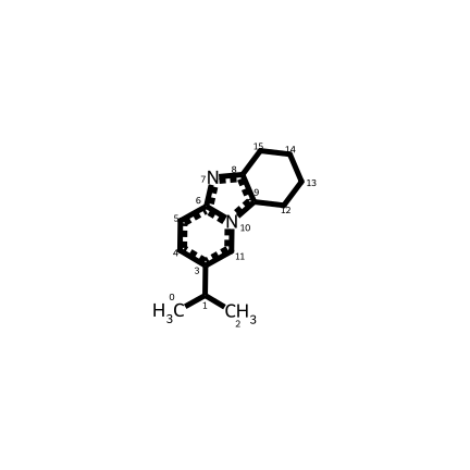 CC(C)c1ccc2nc3c(n2c1)CCCC3